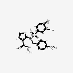 COc1ccc(CN(c2scnc2C(=O)OC(C)(C)C)S(=O)(=O)c2ccc(Br)c(F)c2)cc1